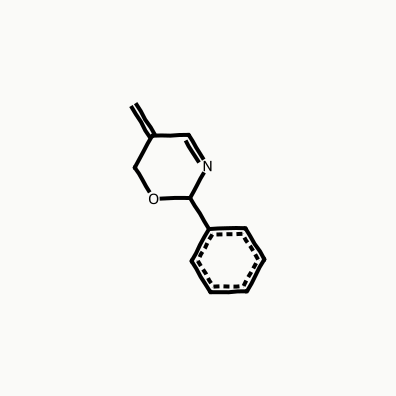 C=C1C=NC(c2ccccc2)OC1